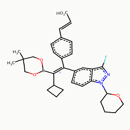 CC1(C)COB(/C(=C(\c2ccc(C=CC(=O)O)cc2)c2ccc3c(c2)c(F)nn3C2CCCCO2)C2CCC2)OC1